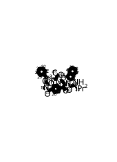 CC(C)C(NC(=O)C(C(=O)c1ccc(C(=O)N(C)C(=O)OCc2ccccc2)cc1)N(C(=O)[C@@H](N)C(C)C)C1Cc2ccccc2C1)C(=O)C(F)(F)F